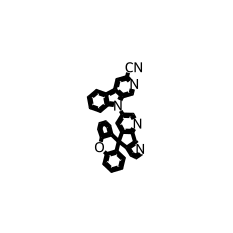 N#Cc1cc2c3ccccc3n(-c3cnc4c(c3)C3(c5ccccc5Oc5ccccc53)c3cccnc3-4)c2cn1